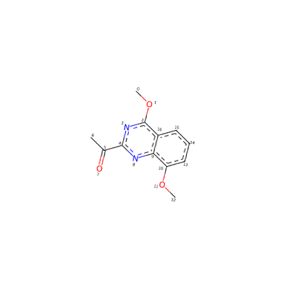 COc1nc(C(C)=O)nc2c(OC)cccc12